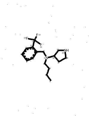 CCCCN(Cc1ccccc1C(F)(F)F)C1CCNC1